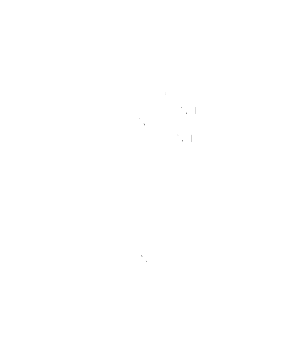 CN1CC(COc2ccc(-c3cn(-c4ccccc4)c4c3NCNC4=O)cc2)C1